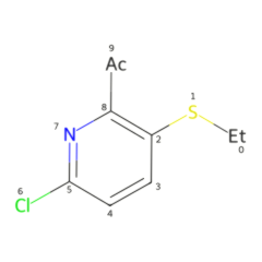 CCSc1ccc(Cl)nc1C(C)=O